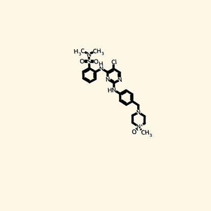 CN(C)S(=O)(=O)c1ccccc1Nc1nc(Nc2ccc(CN3CC[N+](C)([O-])CC3)cc2)ncc1Cl